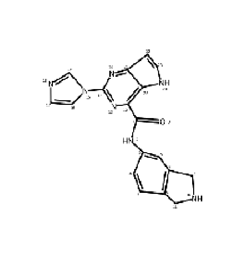 O=C(Nc1ccc2c(c1)CNC2)c1nc(-n2ccnc2)nc2cc[nH]c12